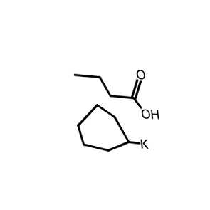 CCCC(=O)O.[K][CH]1CCCCC1